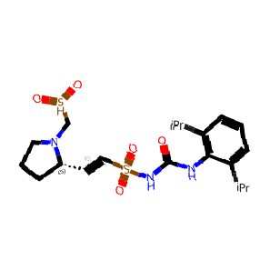 CC(C)c1cccc(C(C)C)c1NC(=O)NS(=O)(=O)/C=C/[C@@H]1CCCN1C[SH](=O)=O